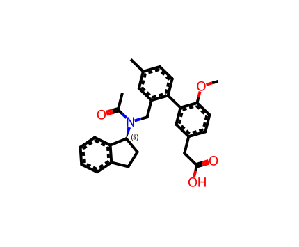 COc1ccc(CC(=O)O)cc1-c1ccc(C)cc1CN(C(C)=O)[C@H]1CCc2ccccc21